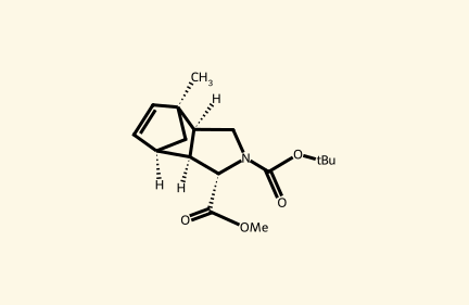 COC(=O)[C@@H]1[C@H]2[C@H]3C=C[C@](C)(C3)[C@H]2CN1C(=O)OC(C)(C)C